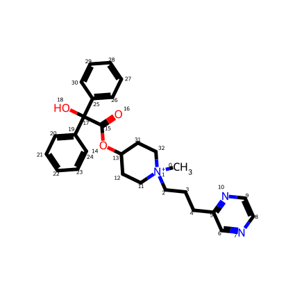 C[N+]1(CCCc2cnccn2)CCC(OC(=O)C(O)(c2ccccc2)c2ccccc2)CC1